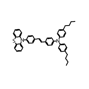 CCCCc1ccc(N(c2ccc(C=Cc3ccc(N4c5ccccc5Sc5ccccc54)cc3)cc2)c2ccc(CCCC)cc2)cc1